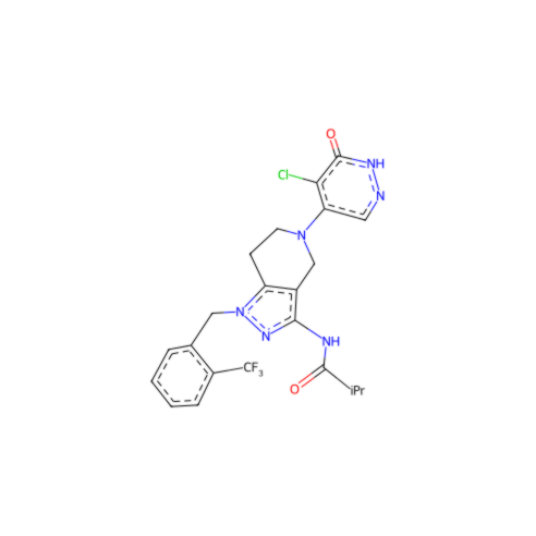 CC(C)C(=O)Nc1nn(Cc2ccccc2C(F)(F)F)c2c1CN(c1cn[nH]c(=O)c1Cl)CC2